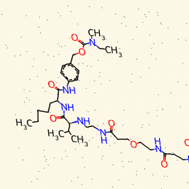 CCCCCC(NC(=O)[C@@H](NCCNC(=O)CCOCCNC(=O)CCN1C(=O)C=CC1=O)C(C)C)C(=O)Nc1ccc(COC(=O)N(C)CC)cc1